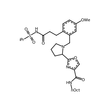 CCCCCCCCNC(=O)c1coc(C2CCCN2Cc2cc(OC)ccc2CCC(=O)NS(=O)(=O)C(C)C)n1